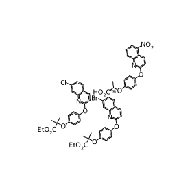 CCOC(=O)C(C)(C)Oc1ccc(Oc2ccc3ccc(Br)cc3n2)cc1.CCOC(=O)C(C)(C)Oc1ccc(Oc2ccc3ccc(Cl)cc3n2)cc1.C[C@@H](Oc1ccc(Oc2ccc3c([N+](=O)[O-])cccc3n2)cc1)C(=O)O